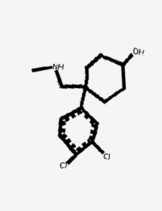 CNCC1(c2ccc(Cl)c(Cl)c2)CCC(O)CC1